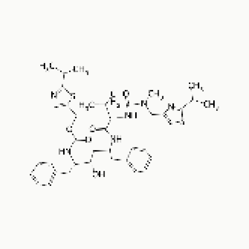 CC(C)c1nc(CN(C)C(=O)N[C@H](C(=O)NC(Cc2ccccc2)C[C@H](O)[C@H](Cc2ccccc2)NC(=O)OCc2cnc(C(C)C)s2)C(C)C)cs1